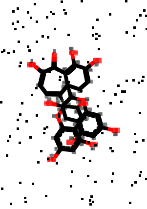 O=C1C(O)=CC=C([C@H]2Oc3cc(O)cc(O)c3C[C@H]2O)[C@@]2(C3Oc4cc(O)cc(O)c4C[C@H]3O)CC=C(O)C(O)=C12